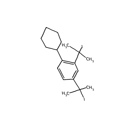 CC(C)(I)c1ccc(C2CCCCC2)c(C(C)(C)I)c1